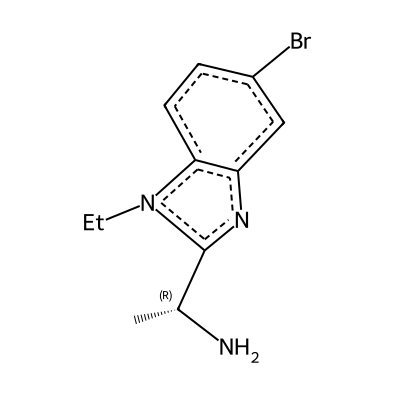 CCn1c([C@@H](C)N)nc2cc(Br)ccc21